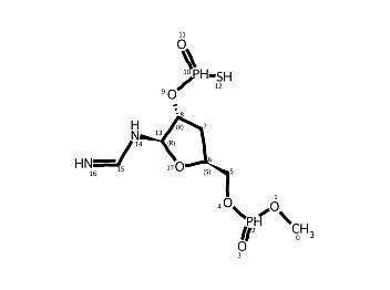 CO[PH](=O)OC[C@@H]1C[C@@H](O[PH](=O)S)[C@H](NC=N)O1